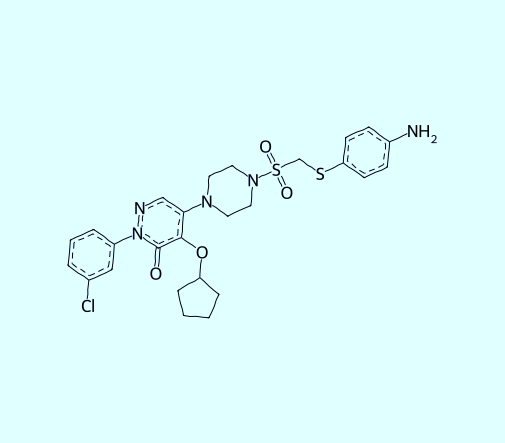 Nc1ccc(SCS(=O)(=O)N2CCN(c3cnn(-c4cccc(Cl)c4)c(=O)c3OC3CCCC3)CC2)cc1